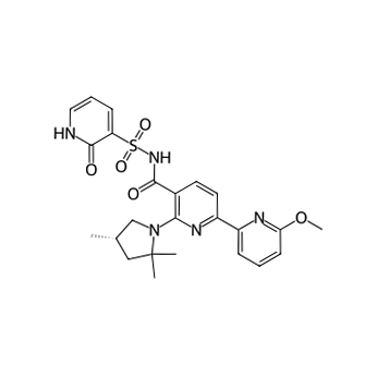 COc1cccc(-c2ccc(C(=O)NS(=O)(=O)c3ccc[nH]c3=O)c(N3C[C@@H](C)CC3(C)C)n2)n1